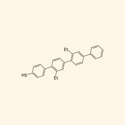 CCc1cc(-c2ccccc2)ccc1-c1ccc(-c2ccc(S)cc2)c(CC)c1